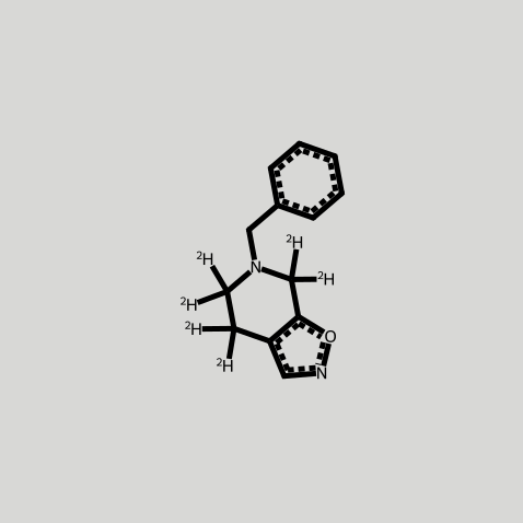 [2H]C1([2H])c2oncc2C([2H])([2H])C([2H])([2H])N1Cc1ccccc1